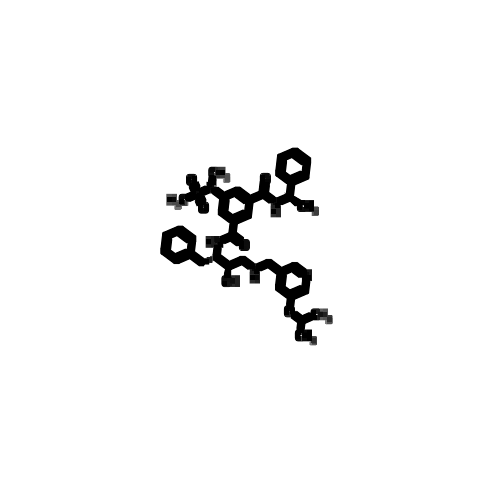 CC(C)Oc1cncc(CNC[C@@H](O)[C@H](Cc2ccccc2)NC(=O)c2cc(C(=O)N[C@H](C)c3ccccc3)cc(N(C)S(C)(=O)=O)c2)c1